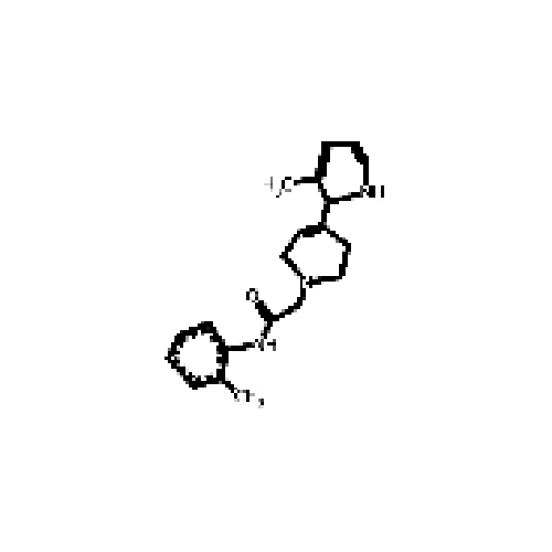 CC1=CC=CNC1C1=CCN(CC(=O)Nc2ccccc2C)CC1